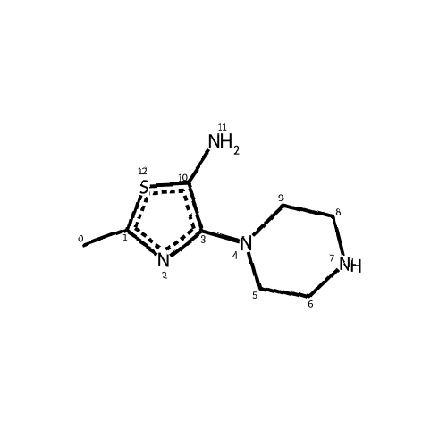 Cc1nc(N2CCNCC2)c(N)s1